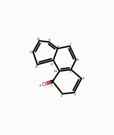 O=C1CC=Cc2ccc3ccccc3c21